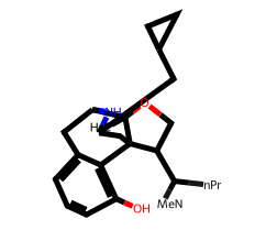 CCCC(NC)C1COC2(C)C3Cc4cccc(O)c4C12CC(CC1CC1)N3